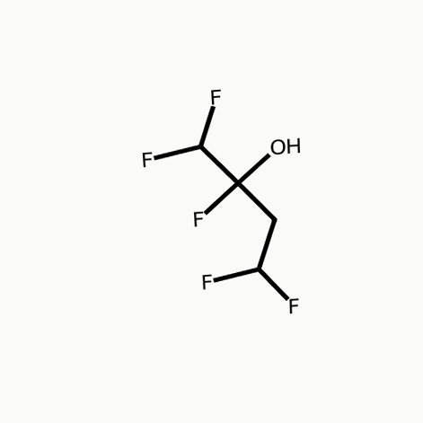 OC(F)(CC(F)F)C(F)F